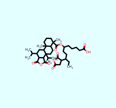 CCC(CCC(CCCCC(=O)O)OC(=O)C1(C)CCCC2(C)C1CCC1(C(C)C)C3C(=O)OC(=O)C3C(C(C)C)CC21)C1CC(=O)OC1=O